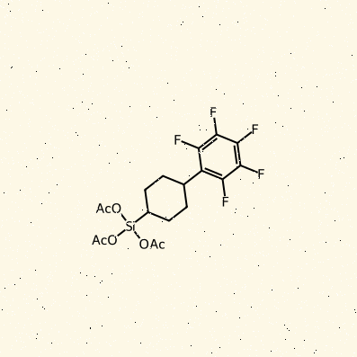 CC(=O)O[Si](OC(C)=O)(OC(C)=O)C1CCC(c2c(F)c(F)c(F)c(F)c2F)CC1